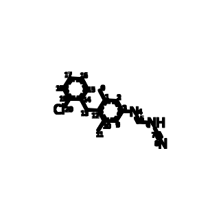 Cc1cc(N=CNC#N)cc(C)c1Cc1ccccc1Cl